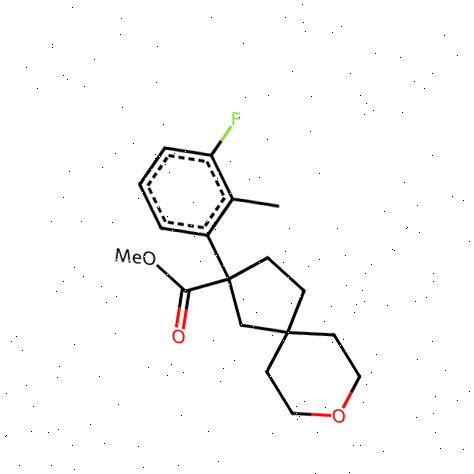 COC(=O)C1(c2cccc(F)c2C)CCC2(CCOCC2)C1